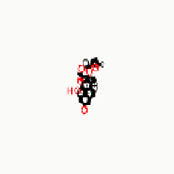 COC1(c2ccco2)OCC(=O)[C@@]2(CC[C@@H]3[C@H]4CCC5=CC(=O)CC[C@@]5(C)[C@@H]4[C@H](O)C[C@]32C)O1